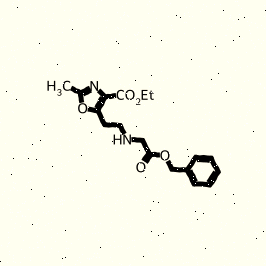 CCOC(=O)c1nc(C)oc1CCNCC(=O)OCc1ccccc1